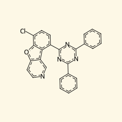 Clc1ccc(-c2nc(-c3ccccc3)nc(-c3ccccc3)n2)c2c1oc1ccncc12